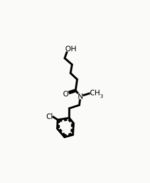 CN(CCc1ccccc1Cl)C(=O)CCCCO